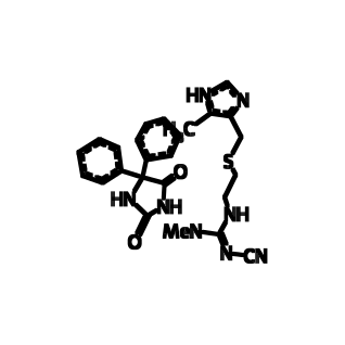 CN/C(=N/C#N)NCCSCc1nc[nH]c1C.O=C1NC(=O)C(c2ccccc2)(c2ccccc2)N1